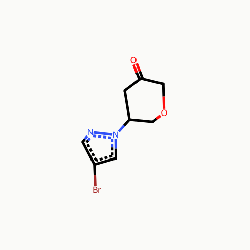 O=C1COCC(n2cc(Br)cn2)C1